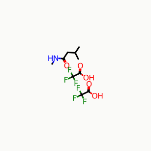 CNC(=O)CC(C)C.O=C(O)C(F)(F)F.O=C(O)C(F)(F)F